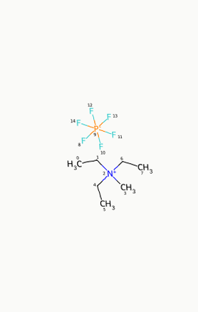 CC[N+](C)(CC)CC.F[P-](F)(F)(F)(F)F